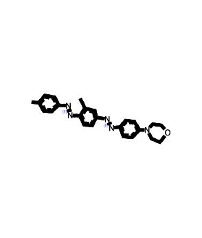 Cc1ccc(/N=N/c2ccc(/N=N/c3ccc(N4CCOCC4)cc3)cc2C)cc1